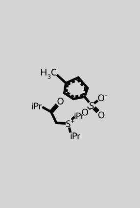 CC(C)C(=O)C[S+](C(C)C)C(C)C.Cc1ccc(S(=O)(=O)[O-])cc1